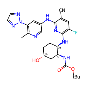 Cc1ncc(Nc2nc(N[C@@H]3CC[C@@H](O)C[C@@H]3NC(=O)OC(C)(C)C)c(F)cc2C#N)cc1-n1nccn1